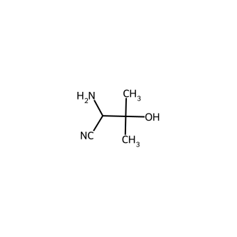 CC(C)(O)C(N)C#N